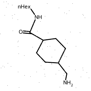 CCCCCCNC(=O)C1CCC(CN)CC1